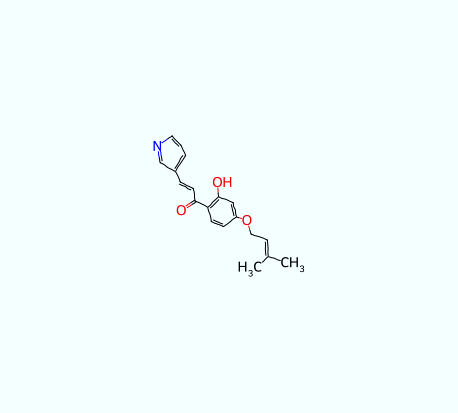 CC(C)=CCOc1ccc(C(=O)C=Cc2cccnc2)c(O)c1